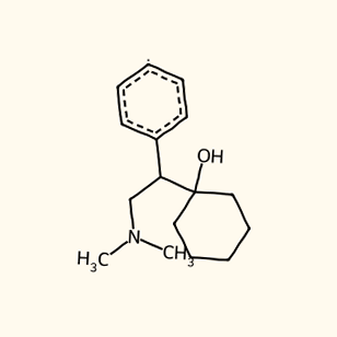 CN(C)CC(c1cc[c]cc1)C1(O)CCCCC1